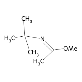 CO/C(C)=N/C(C)(C)C